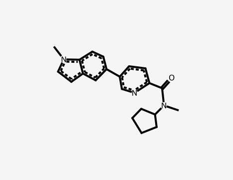 CN(C(=O)c1ccc(-c2ccc3c(ccn3C)c2)cn1)C1CCCC1